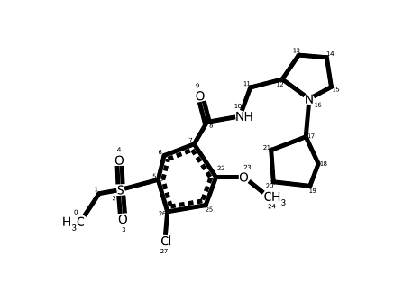 CCS(=O)(=O)c1cc(C(=O)NCC2CCCN2C2CCCC2)c(OC)cc1Cl